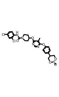 Cc1c(Oc2ccc(C3COS(=O)OC3)cc2)ncnc1OC1CCN(C(=O)Nc2ccc(Cl)cc2Cl)CC1